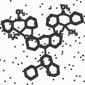 CN1c2ccccc2C(C)(C)c2c(-c3cccc4c(-c5cc(-c6ccccc6)c6ccccc6c5)c5cccc(-c6cccc7c6C(C)(C)c6ccccc6N7C)c5cc34)cccc21